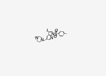 Cc1ccc(S(=O)(=O)n2cc(I)c3cc(CN4CCN(C)CC4)cnc32)cc1